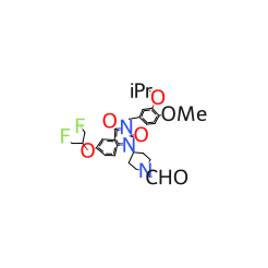 COc1ccc(Cn2c(=O)c3cc(OC(CF)CF)ccc3n(C3CCN(C=O)CC3)c2=O)cc1OC(C)C